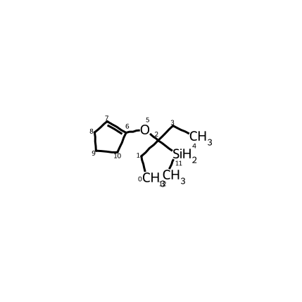 CCC(CC)(OC1=CCCC1)[SiH2]C